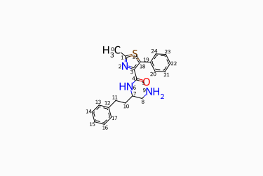 Cc1nc(C(=O)NC(CN)CCc2ccccc2)c(-c2ccccc2)s1